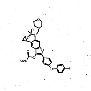 CNC(=O)Oc1c(-c2ccc(Oc3ccc(F)cc3)cc2)oc2cc(N(CC3CCOCC3)S(C)(=O)=O)c(C3CC3)cc12